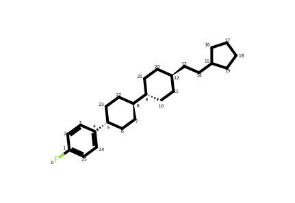 Fc1ccc([C@H]2CC[C@H]([C@H]3CC[C@H](CCC4CCCC4)CC3)CC2)cc1